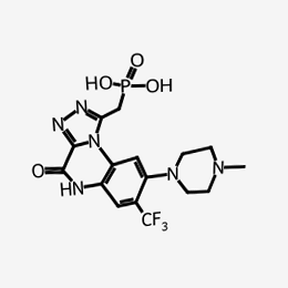 CN1CCN(c2cc3c(cc2C(F)(F)F)[nH]c(=O)c2nnc(CP(=O)(O)O)n23)CC1